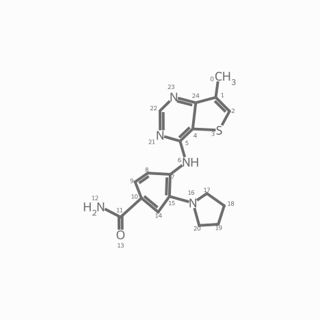 Cc1csc2c(Nc3ccc(C(N)=O)cc3N3CCCC3)ncnc12